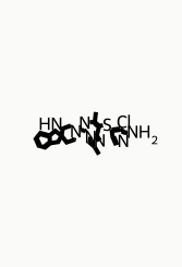 Cc1cn2c(N3CCC4(CC3)Cc3ccccc3C4=N)nc(C)c(Sc3ccnc(N)c3Cl)c2n1